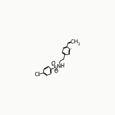 C=Cc1[c]cc(CCNS(=O)(=O)c2ccc(Cl)cc2)cc1